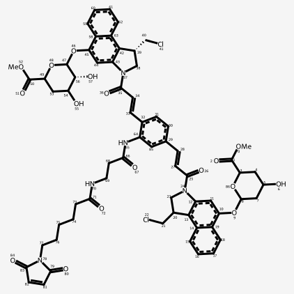 COC(=O)C1CC(O)CC(Oc2cc3c(c4ccccc24)C(CCl)CN3C(=O)/C=C/c2ccc(/C=C/C(=O)N3C[C@@H](CCl)c4c3cc(OC3OC(C(=O)OC)CC(O)[C@H]3O)c3ccccc43)c(NC(=O)CCNC(=O)CCCCCN3C(=O)C=CC3=O)c2)O1